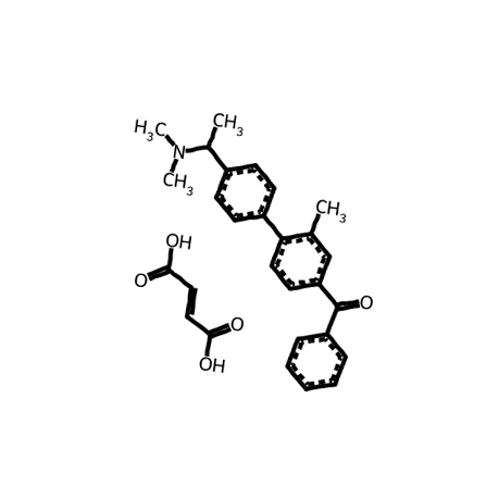 Cc1cc(C(=O)c2ccccc2)ccc1-c1ccc(C(C)N(C)C)cc1.O=C(O)/C=C/C(=O)O